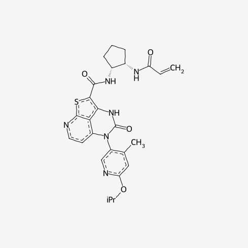 C=CC(=O)N[C@H]1CCC[C@H]1NC(=O)c1sc2nccc3c2c1NC(=O)N3c1cnc(OC(C)C)cc1C